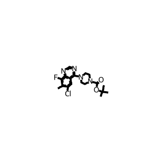 Cc1c(Cl)cc2c(N3CCN(C(=O)OC(C)(C)C)CC3)ncnc2c1F